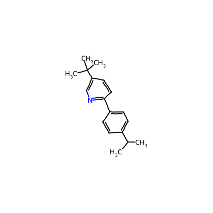 CC(C)c1ccc(-c2ccc(C(C)(C)C)cn2)cc1